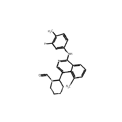 Cc1ccc(Nc2ncc(C3CCCCN3C=O)c3c(C)cccc23)cc1F